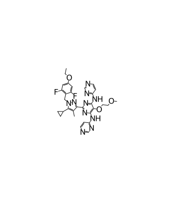 CCOc1cc(F)c(Cn2nc(-c3nc(Nc4ccncn4)c(OCCOC)c(Nc4ccncn4)n3)c(C)c2C2CC2)c(F)c1